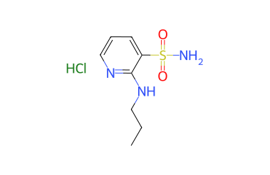 CCCNc1ncccc1S(N)(=O)=O.Cl